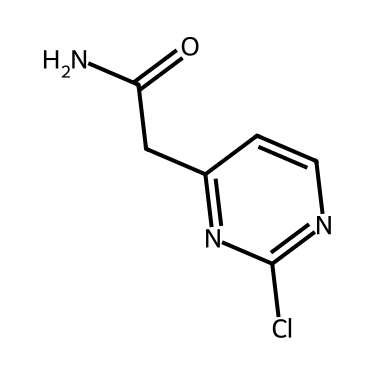 NC(=O)Cc1ccnc(Cl)n1